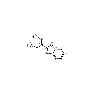 CCN(CC)c1nc2ccccc2o1